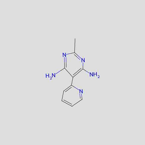 Cc1nc(N)c(-c2ccccn2)c(N)n1